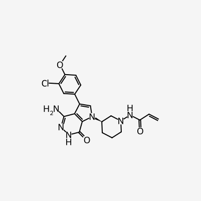 C=CC(=O)NN1CCC[C@@H](n2cc(-c3ccc(OC)c(Cl)c3)c3c(N)n[nH]c(=O)c32)C1